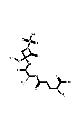 CO[C@]1(NC(=O)[C@@H](C)NC(=O)CC[C@H](C)C(=O)O)CN(S(=O)(=O)O)C1=O